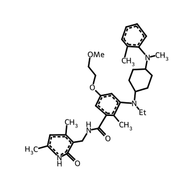 CCN(c1cc(OCCOC)cc(C(=O)NCc2c(C)cc(C)[nH]c2=O)c1C)C1CCC(N(C)c2ccccc2C)CC1